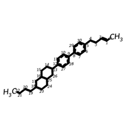 CC=CCCc1ccc(-c2ccc(C3CCC4CC(CCCC)CCC4C3)cc2)cc1